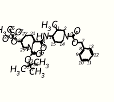 CC1CN(C(=O)OCc2ccccc2)CCC1NC(=O)C1CCC(OS(C)(=O)=O)CN1C(=O)OC(C)(C)C